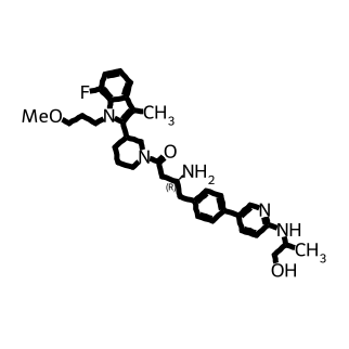 COCCCn1c(C2CCCN(C(=O)C[C@H](N)Cc3ccc(-c4ccc(NC(C)CO)nc4)cc3)C2)c(C)c2cccc(F)c21